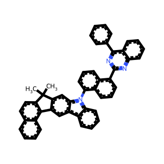 CC1(C)c2cc3c(cc2-c2c1ccc1ccccc21)c1ccccc1n3-c1cccc2c(-c3nc(-c4ccccc4)c4ccccc4n3)cccc12